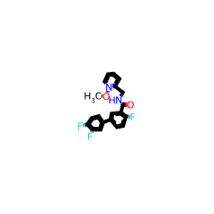 CO[n+]1ccccc1CNC(=O)c1cc(-c2ccc(F)c(F)c2)ccc1F